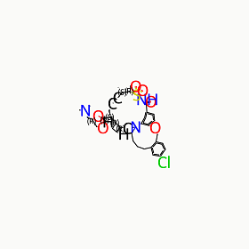 C[C@@H]1[C@@H](C)CCC[C@H]([C@H]2OC[C@@H](CN(C)C)O2)[C@@H]2CC[C@H]2CN2CCCCc3cc(Cl)ccc3COc3ccc(cc32)C(=O)NS1(=O)=O